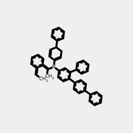 C/C=c1/cccc/c1=C(/C)N(C1=CCC(c2ccccc2)C=C1)c1ccc(-c2ccc(-c3ccccc3)cc2)c(-c2ccccc2)c1